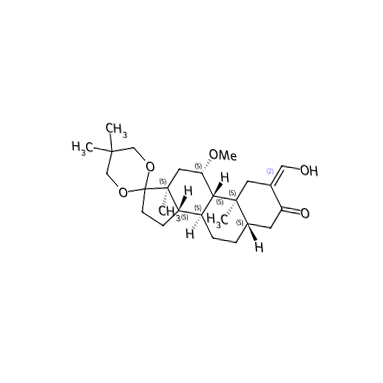 CO[C@H]1C[C@@]2(C)[C@@H](CCC23OCC(C)(C)CO3)[C@@H]2CC[C@H]3CC(=O)/C(=C\O)C[C@]3(C)[C@H]21